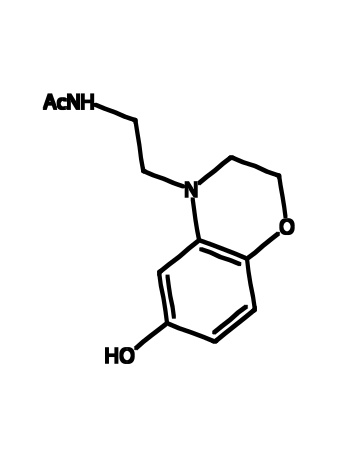 CC(=O)NCCN1CCOc2ccc(O)cc21